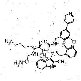 Cc1[nH]c2ccccc2c1C[C@@H](C(=O)NCc1cc(-c2ccncc2)cc(Cl)c1Sc1ncccc1CN)N(C)C(=O)[C@H](CCCCN)NCON